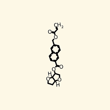 C=CC(=O)OCc1ccc2cc(C(=O)OC3CO[C@@H]4CCO[C@H]34)ccc2c1